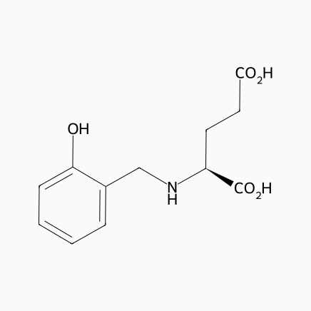 O=C(O)CC[C@H](NCc1ccccc1O)C(=O)O